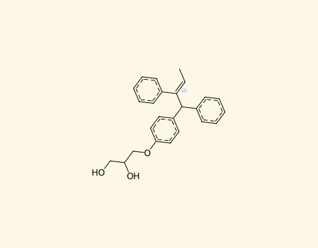 C/C=C(\c1ccccc1)C(c1ccccc1)c1ccc(OCC(O)CO)cc1